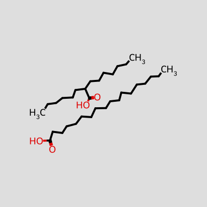 CCCCCCCC(CCCCCC)C(=O)O.CCCCCCCCCCCCCCCCCC(=O)O